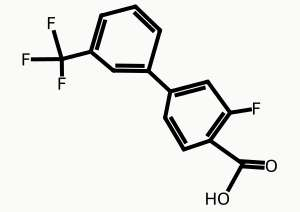 O=C(O)c1ccc(-c2cccc(C(F)(F)F)c2)cc1F